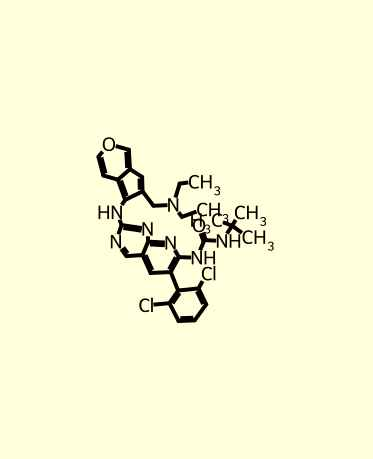 CCN(CC)Cc1cc2coccc-2c1Nc1ncc2cc(-c3c(Cl)cccc3Cl)c(NC(=O)NC(C)(C)C)nc2n1